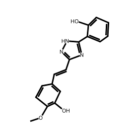 COc1ccc(/C=C/c2n[nH]c(-c3ccccc3O)n2)cc1O